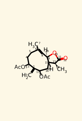 C=C1C(OC(C)=O)CC/C(C)=C/[C@H]2OC(=O)[C@@H](C)[C@@H]2CC1OC(C)=O